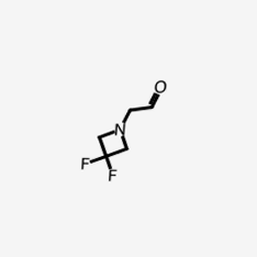 O=CCN1CC(F)(F)C1